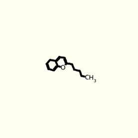 CCCCCC1=CC=C2CC=CC=C2O1